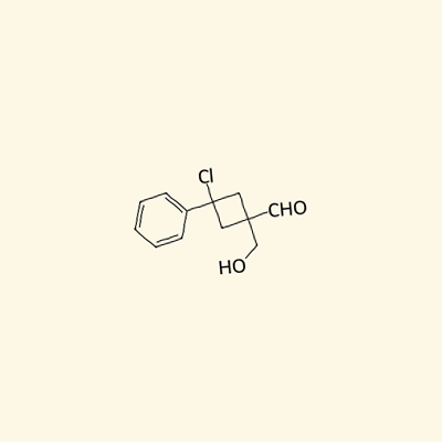 O=CC1(CO)CC(Cl)(c2ccccc2)C1